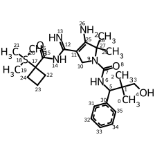 CC(C)(CO)C(NC(=O)N1CC(C(=N)NC(=O)C2(S(C)(C)C)CCC2)=C(N)C1(C)C)c1ccccc1